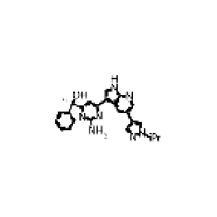 CC(C)n1cc(-c2cnc3[nH]cc(-c4cc([C@](C)(O)c5ccccc5)nc(N)n4)c3c2)cn1